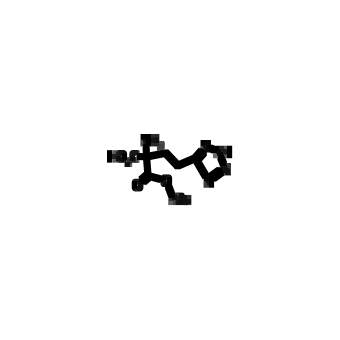 CCCCOC(=O)C(N)(CCc1nn[nH]n1)C(=O)O